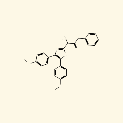 COc1ccc(-c2nc(C(N)C(=S)Cc3ccccc3)sc2-c2ccc(OC)cc2)cc1